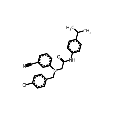 CC(C)c1ccc(NC(=O)CN(Cc2ccc(Cl)cc2)c2cccc(C#N)c2)cc1